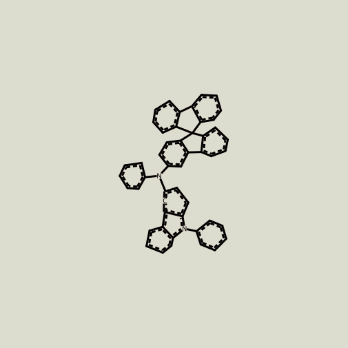 c1ccc(N(c2ccc3c(c2)-c2ccccc2C32c3ccccc3-c3ccccc32)c2ccc3c(c2)c2ccccc2n3-c2ccccc2)cc1